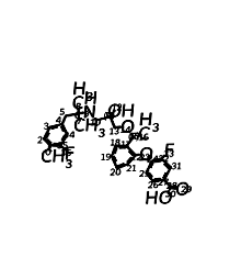 Cc1ccc(CC(C)(C)NC[C@@H](O)CO[C@H](C)c2ccccc2Oc2ccc(C(=O)O)cc2F)cc1F